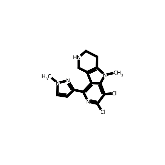 Cn1ccc(-c2nc(Cl)c(Cl)c3c2c2c(n3C)CCNC2)n1